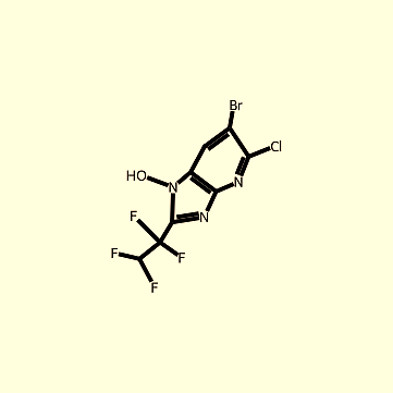 On1c(C(F)(F)C(F)F)nc2nc(Cl)c(Br)cc21